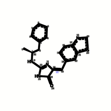 C[C@@H](Cc1ccccc1)NC1=N/C(=C\c2ccc3ncsc3c2)C(=O)N1